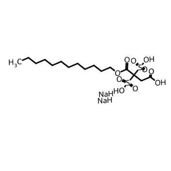 CCCCCCCCCCCCOC(=O)C(CC(=O)O)(S(=O)(=O)O)S(=O)(=O)O.[NaH].[NaH]